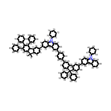 CC1(C)c2ccc(-c3ccc4c(c3)c3cc(-c5ccc(-c6ccc7c(c6)-c6cc(-c8ccc9c(c8)c8ccccc8n9-c8ccccc8)ccc6C7(c6ccccc6)c6ccccc6)cc5)ccc3n4-c3ccccc3)cc2-c2c1cc(-c1ccccc1)c(-c1ccccc1)c2-c1ccccc1